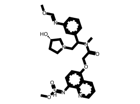 COC=Nc1cccc(C(CN2CC[C@H](O)C2)N(C)C(=O)COc2ccc(N=[SH](=O)OC)c3ncccc23)c1